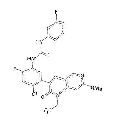 CNc1cc2c(cn1)cc(-c1cc(NC(=O)Nc3cccc(F)c3)c(F)cc1Cl)c(=O)n2CC(F)(F)F